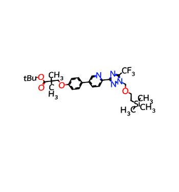 CC(C)(C)OC(=O)C(C)(C)COc1ccc(-c2ccc(-c3nc(C(F)(F)F)n(COCC[Si](C)(C)C)n3)nc2)cc1